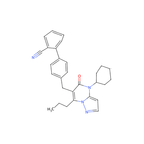 CCCc1c(Cc2ccc(-c3ccccc3C#N)cc2)c(=O)n(C2CC[CH]CC2)c2ccnn12